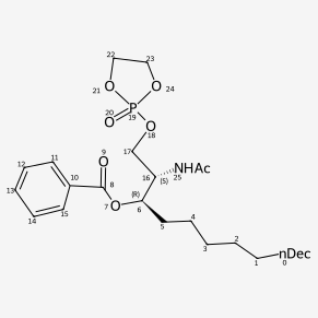 CCCCCCCCCCCCCCC[C@@H](OC(=O)c1ccccc1)[C@H](COP1(=O)OCCO1)NC(C)=O